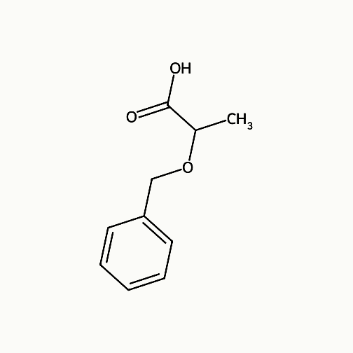 CC(OCc1ccccc1)C(=O)O